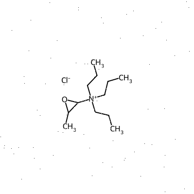 CCC[N+](CCC)(CCC)C1OC1C.[Cl-]